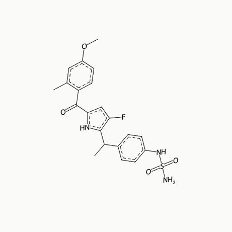 COc1ccc(C(=O)c2cc(F)c(C(C)c3ccc(NS(N)(=O)=O)cc3)[nH]2)c(C)c1